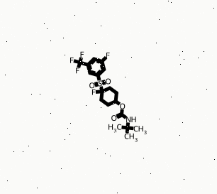 CC(C)(C)NC(=O)OC1CCC(F)(S(=O)(=O)c2cc(F)cc(C(F)(F)F)c2)CC1